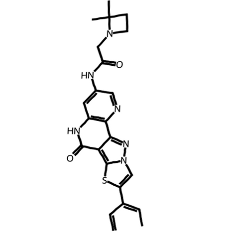 C=C/C(=C\C)c1cn2nc3c4ncc(NC(=O)CN5CCC5(C)C)cc4[nH]c(=O)c3c2s1